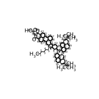 CCCCCCn1c2cc(N(c3ccc4ccc5c6c4c3CC=C6CC(C(C)(C)C)=C5)c3ccc4c5c6c(ccc35)C=C(C(C)(C)C)CC6=CC4)ccc2c2c3cccc4c5ccc6c7c(ccc(c(cc21)c43)c75)C(=O)N(CC(=O)O)C6=O